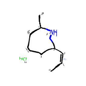 C/C=C\C1CCCC(C)N1.Cl